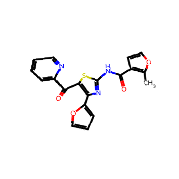 Cc1occc1C(=O)Nc1nc(-c2ccco2)c(C(=O)c2ccccn2)s1